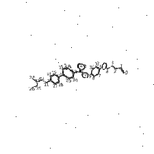 C=CCCCOc1ccc(OC(=O)c2ccc(-c3ccc(CCC(C)CC)cc3)cc2)cc1